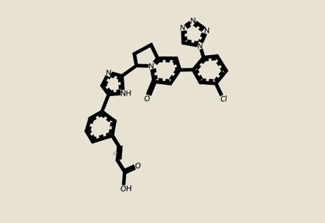 O=C(O)/C=C/c1cccc(-c2cnc(C3CCc4cc(-c5cc(Cl)ccc5-n5cnnn5)cc(=O)n43)[nH]2)c1